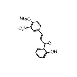 COc1ccc(C=CC(=O)c2ccccc2O)cc1[N+](=O)[O-]